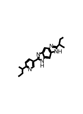 CCC(C)c1ccc(-c2nc3cc4nc(C(C)CC)[nH]c4cc3[nH]2)cn1